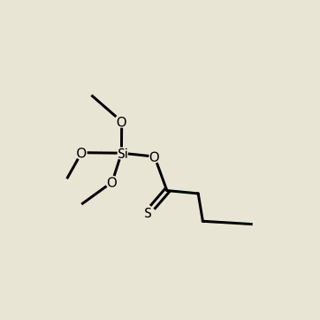 CCCC(=S)O[Si](OC)(OC)OC